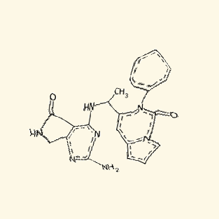 CC(Nc1nc(N)nc2c1C(=O)NC2)c1cc2cccn2c(=O)n1-c1ccccc1